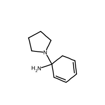 NC1(N2CCCC2)C=CC=CC1